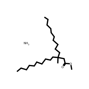 CCCCCCCCCCC(C)(CCCCCCCCCC)CC(=O)OC.N